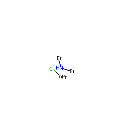 CCCCl.CCNCC